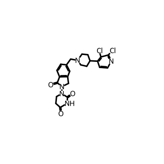 O=C1CCN(N2Cc3cc(CN4CCC(c5ccnc(Cl)c5Cl)CC4)ccc3C2=O)C(=O)N1